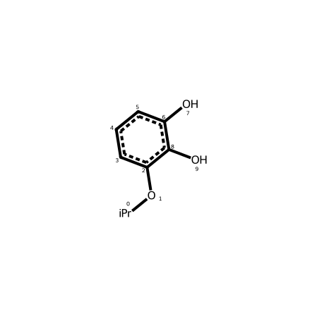 CC(C)Oc1cccc(O)c1O